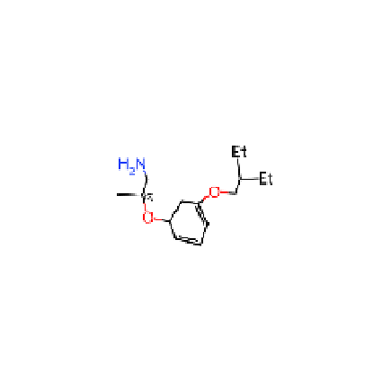 CCC(CC)COC1=CC=CC(O[C@@H](C)CN)C1